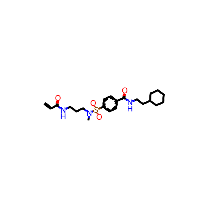 C=CC(=O)NCCCN(C)S(=O)(=O)c1ccc(C(=O)NCCC2CCCCC2)cc1